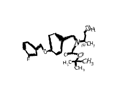 C[C@@H](CO)N(Cc1ccc(OCc2cccc(F)c2)cc1)C(=O)OC(C)(C)C